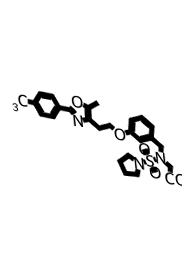 CCOC(=O)CN(Cc1cccc(OCCc2nc(-c3ccc(C(F)(F)F)cc3)oc2C)c1)S(=O)(=O)N1CCCC1